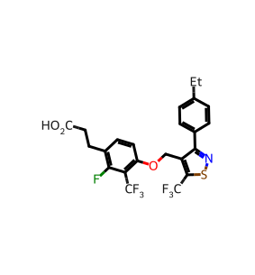 CCc1ccc(-c2nsc(C(F)(F)F)c2COc2ccc(CCC(=O)O)c(F)c2C(F)(F)F)cc1